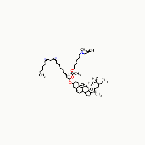 C#CCN(C)CCCCCCO[Si](C)(C)OC(CCCCCCC/C=C\C/C=C\CCCCC)OC1CCC2(C)C(=CCC3C2CCC2(C)C(C(C)CCC(CC)C(C)C)CCC32)C1